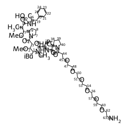 CCC(C)C(C(CC(=O)N1CCC[C@H]1C(OC)C(C)C(=O)NC(Cc1ccccc1)C(=O)O)OC)N(C)C(=O)C(NC(=O)[C@]1(C)CCCN1C(=O)CCOCCOCCOCCOCCOCCOCCN)C(C)C